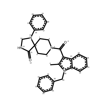 Cc1c(C(=O)N2CCC3(CC2)C(=O)NCN3c2ccccc2)c2ccccc2n1Cc1ccccc1